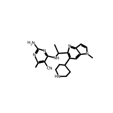 Cc1nc(N)nc(NC(C)c2nc3ccn(C)c3cc2C2CCNCC2)c1C#N